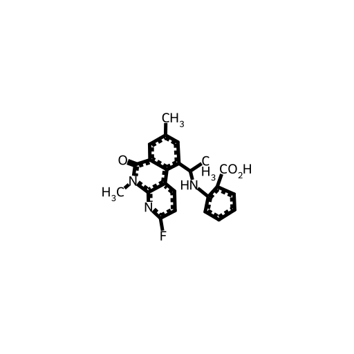 Cc1cc(C(C)Nc2ccccc2C(=O)O)c2c(c1)c(=O)n(C)c1nc(F)ccc21